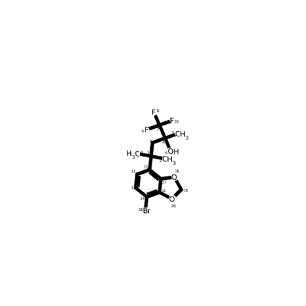 CC(C)(CC(C)(O)C(F)(F)F)c1ccc(Br)c2c1OCO2